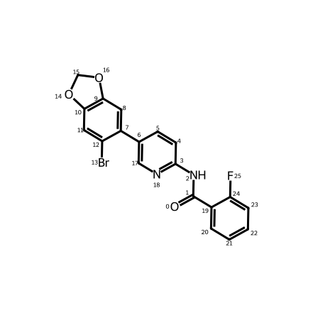 O=C(Nc1ccc(-c2cc3c(cc2Br)OCO3)cn1)c1ccccc1F